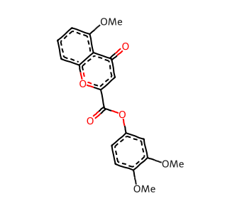 COc1ccc(OC(=O)c2cc(=O)c3c(OC)cccc3o2)cc1OC